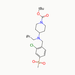 CC(C)CN(Cc1ccc(S(C)(=O)=O)cc1Cl)C1CCN(C(=O)OC(C)(C)C)CC1